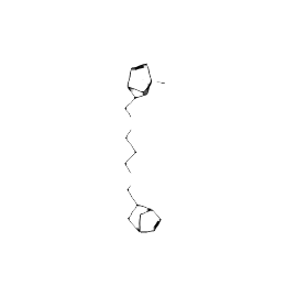 C1=CC2CC1CC2COCCCOCC1C[C@H]2C=CC1C2